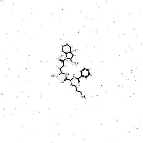 NCCCC[C@H](NC(=O)c1ccccc1)C(=O)N[C@H](CCC(=O)N1[C@H](C(=O)O)C[C@@H]2CCCC[C@@H]21)C(=O)O